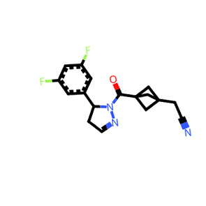 N#CCC12CC(C(=O)N3N=CCC3c3cc(F)cc(F)c3)(C1)C2